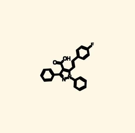 O=C(O)c1c(-c2ccccc2)nn(-c2ccccc2)c1C=Cc1ccc(F)cc1